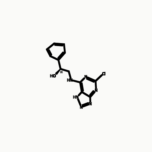 O[C@H](CNc1nc(Cl)nc2nn[nH]c12)c1ccccc1